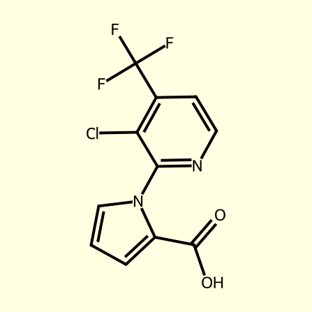 O=C(O)c1cccn1-c1nccc(C(F)(F)F)c1Cl